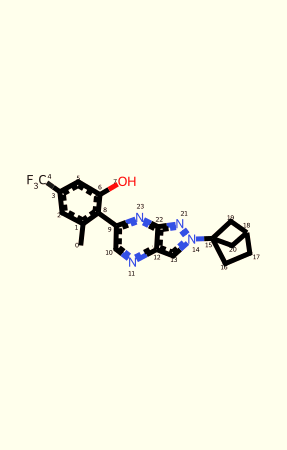 Cc1cc(C(F)(F)F)cc(O)c1-c1cnc2cn(C34CCC(C3)C4)nc2n1